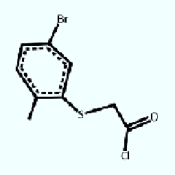 Cc1ccc(Br)cc1SCC(=O)Cl